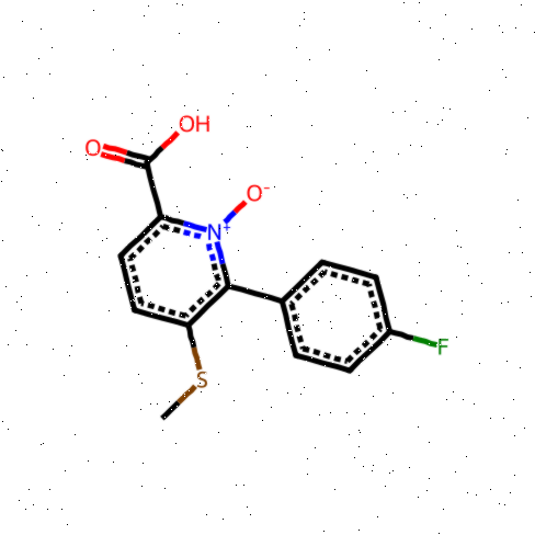 CSc1ccc(C(=O)O)[n+]([O-])c1-c1ccc(F)cc1